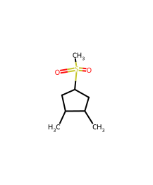 CC1CC(S(C)(=O)=O)CC1C